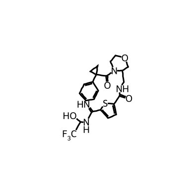 N=C(NC(O)C(F)(F)F)c1ccc(C(=O)NCC2COCCN2C(=O)C2(c3ccccc3)CC2)s1